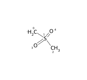 [CH2]S(C)(=O)=O